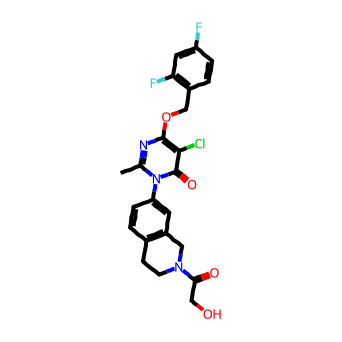 Cc1nc(OCc2ccc(F)cc2F)c(Cl)c(=O)n1-c1ccc2c(c1)CN(C(=O)CO)CC2